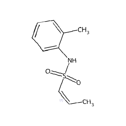 C/C=C\S(=O)(=O)Nc1ccccc1C